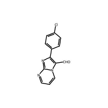 O=Cc1c(-c2ccc(Cl)cc2)nc2ncccn12